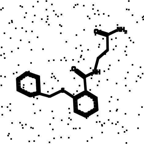 NC(=O)CCNC(=O)c1ccccc1SCc1ccccc1